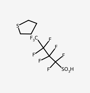 C1CCSC1.O=S(=O)(O)C(F)(F)C(F)(F)C(F)(F)C(F)(F)F